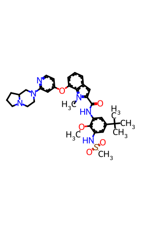 COc1c(NC(=O)c2cc3cccc(Oc4ccnc(N5CCN6CCCC6C5)c4)c3n2C)cc(C(C)(C)C)cc1NS(C)(=O)=O